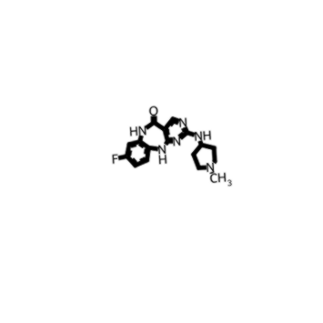 CN1CCC(Nc2ncc3c(n2)Nc2ccc(F)cc2NC3=O)CC1